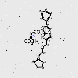 O=C(O)/C=C\C(=O)O.c1ccc(-c2cn3cc(COCCN4CCCC4)nc3s2)cc1